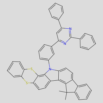 CC1(C)c2ccccc2-c2ccc3c(c21)c1ccc2c(c1n3-c1cccc(-c3cc(-c4ccccc4)nc(-c4ccccc4)n3)c1)Sc1ccccc1S2